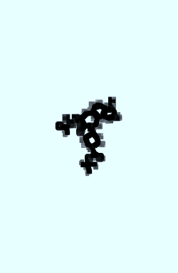 CC(=O)O.CC(C)(C)OC(=O)N1CCC(N2Cc3c(ccc4[nH]ncc34)C[C@@H](N)C2=O)CC1